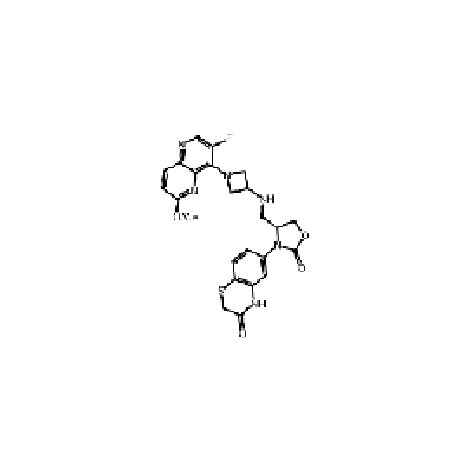 COc1ccc2ncc(F)c(N3CC(NC[C@H]4COC(=O)N4c4ccc5c(c4)NC(=O)CS5)C3)c2n1